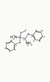 CCC(N)(Cc1ccccc1)C(N)Cc1ccccc1